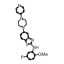 COc1ccc(F)cc1Nc1nc2cc(N3CCN(c4ccncc4)CC3)ccc2s1